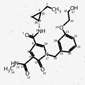 CC[C@@H]1C[C@H]1NC(=O)c1cc(C(=O)NC)c(=O)n(Cc2cccc(OCCO)c2)c1